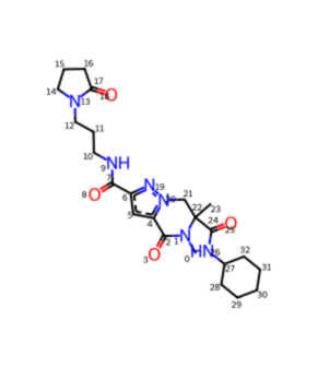 CN1C(=O)c2cc(C(=O)NCCCN3CCCC3=O)nn2CC1(C)C(=O)NC1CCCCC1